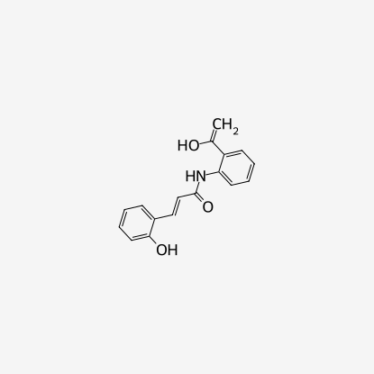 C=C(O)c1ccccc1NC(=O)/C=C/c1ccccc1O